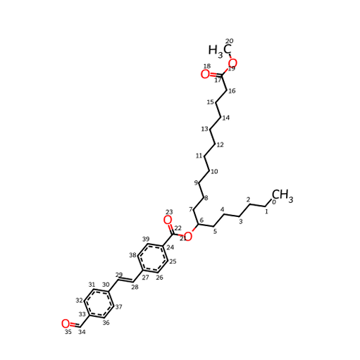 CCCCCCC(CCCCCCCCCCC(=O)OC)OC(=O)c1ccc(/C=C/c2ccc(C=O)cc2)cc1